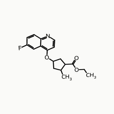 CCOC(=O)C1CC(Oc2ccnc3ccc(F)cc23)CC1C